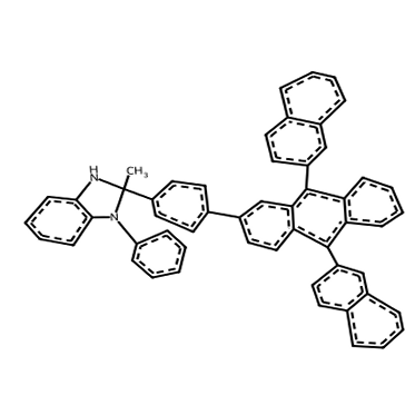 CC1(c2ccc(-c3ccc4c(-c5ccc6ccccc6c5)c5ccccc5c(-c5ccc6ccccc6c5)c4c3)cc2)Nc2ccccc2N1c1ccccc1